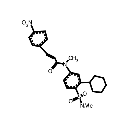 CNS(=O)(=O)c1ccc(N(C)C(=O)C=Cc2ccc([N+](=O)[O-])cc2)cc1C1CCCCC1